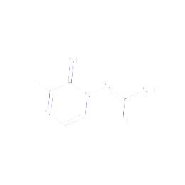 C/C(N)=N\n1ccnc(Cl)c1=N